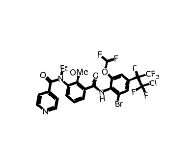 CCN(C(=O)c1ccncc1)c1cccc(C(=O)Nc2c(Br)cc(C(F)(C(F)(F)F)C(F)(F)Cl)cc2OC(F)F)c1OC